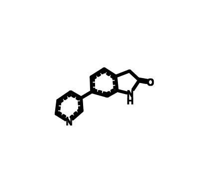 O=C1Cc2ccc(-c3cccnc3)cc2N1